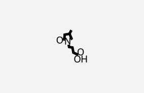 CC1CC(=O)N(CCCC(=O)O)C1